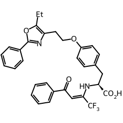 CCc1oc(-c2ccccc2)nc1CCOc1ccc(C[C@H](N/C(=C\C(=O)c2ccccc2)C(F)(F)F)C(=O)O)cc1